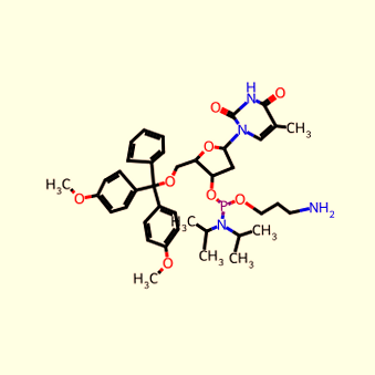 COc1ccc(C(OCC2OC(n3cc(C)c(=O)[nH]c3=O)CC2OP(OCCCN)N(C(C)C)C(C)C)(c2ccccc2)c2ccc(OC)cc2)cc1